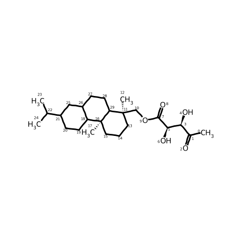 CC(=O)[C@H](O)[C@@H](O)C(=O)OC[C@@]1(C)CCC[C@@]2(C)C3CCC(C(C)C)CC3CCC12